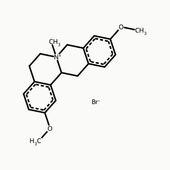 COc1ccc2c(c1)C[N+]1(C)CCc3ccc(OC)cc3C1C2.[Br-]